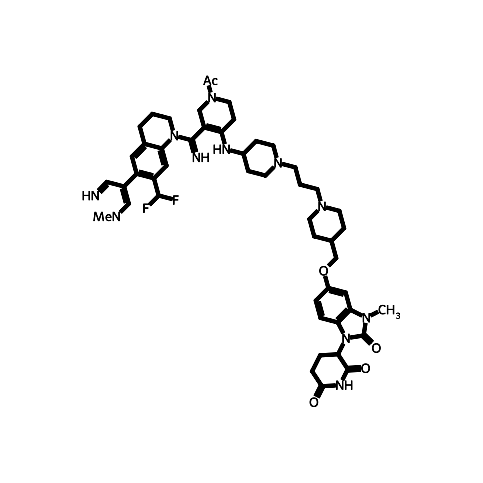 CN/C=C(\C=N)c1cc2c(cc1C(F)F)N(C(=N)C1=C(NC3CCN(CCCN4CCC(COc5ccc6c(c5)n(C)c(=O)n6C5CCC(=O)NC5=O)CC4)CC3)CCN(C(C)=O)C1)CCC2